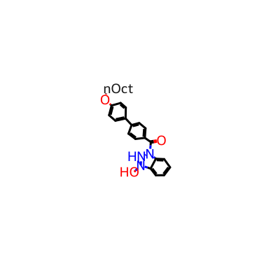 CCCCCCCCOc1ccc(-c2ccc(C(=O)N3NN(O)c4ccccc43)cc2)cc1